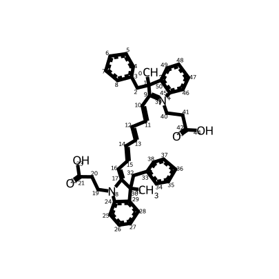 CC1(Cc2ccccc2)C(/C=C/C=C/C=C/C=C2/N(CCC(=O)O)c3ccccc3C2(C)Cc2ccccc2)=[N+](CCC(=O)O)c2ccccc21